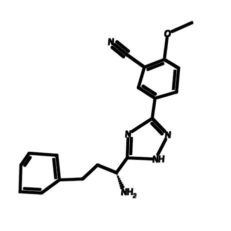 COc1ccc(-c2n[nH]c([C@H](N)CCc3ccccc3)n2)cc1C#N